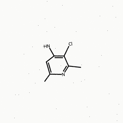 Cc1cc([NH])c(Cl)c(C)n1